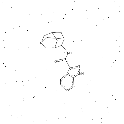 O=C(NC1C2CC3CC1CN(C3)C2)c1n[nH]c2ccccc12